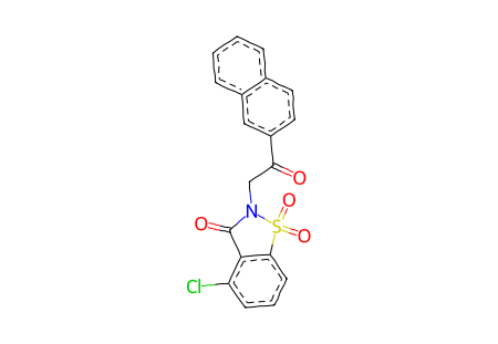 O=C(CN1C(=O)c2c(Cl)cccc2S1(=O)=O)c1ccc2ccccc2c1